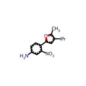 Cc1oc(-c2ccc(N)cc2[N+](=O)[O-])cc1C(C)C